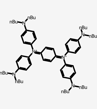 CCCCN(CCCC)c1ccc([N+](=C2C=CC(=[N+](c3ccc(N(CCCC)CCCC)cc3)c3ccc(N(CCCC)CCCC)cc3)C=C2)c2ccc(N(CCCC)CCCC)cc2)cc1